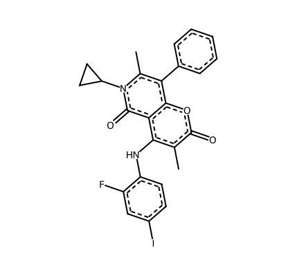 Cc1c(Nc2ccc(I)cc2F)c2c(=O)n(C3CC3)c(C)c(-c3ccccc3)c2oc1=O